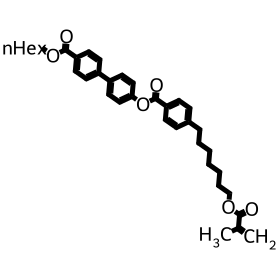 C=C(C)C(=O)OCCCCCCCc1ccc(C(=O)Oc2ccc(-c3ccc(C(=O)OCCCCCC)cc3)cc2)cc1